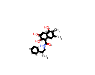 Cc1cc2c(C(=O)NC[C@H](C)c3ccccc3)c(O)c(O)cc2c(O)c1C